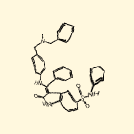 CN(Cc1ccccc1)Cc1ccc(N/C(=C2\C(=O)Nc3ccc(S(=O)(=O)Nc4ccccc4)cc32)c2ccccc2)cc1